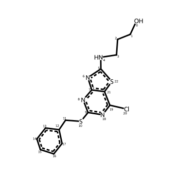 OCCCNc1nc2nc(SCc3ccccc3)nc(Cl)c2s1